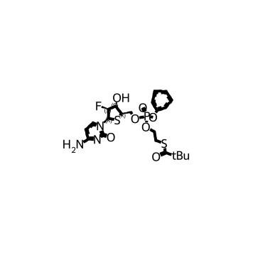 CC(C)(C)C(=O)SCCOP(=O)(OC[C@H]1S[C@@H](n2ccc(N)nc2=O)[C@@H](F)[C@@H]1O)Oc1ccccc1